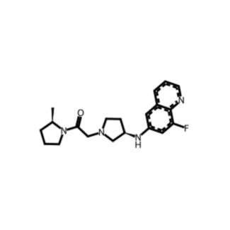 C[C@@H]1CCCN1C(=O)CN1CC[C@@H](Nc2cc(F)c3ncccc3c2)C1